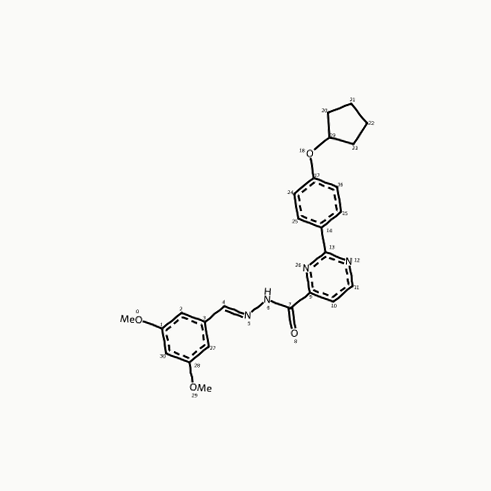 COc1cc(C=NNC(=O)c2ccnc(-c3ccc(OC4CCCC4)cc3)n2)cc(OC)c1